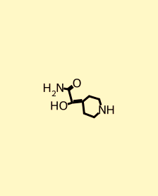 NC(=O)C(O)=C1CCNCC1